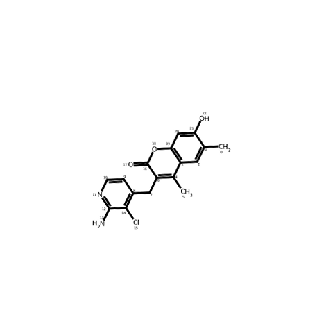 Cc1cc2c(C)c(Cc3ccnc(N)c3Cl)c(=O)oc2cc1O